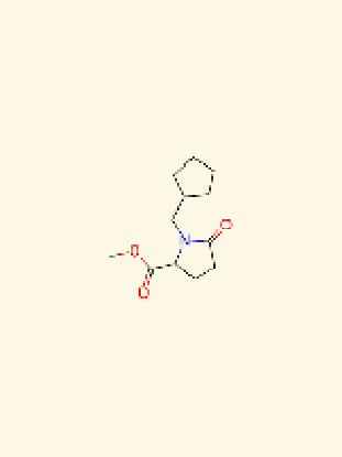 COC(=O)C1CCC(=O)N1CC1CCCC1